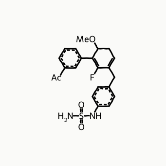 COC1CC=C(Cc2ccc(NS(N)(=O)=O)cc2)C(F)=C1c1cccc(C(C)=O)c1